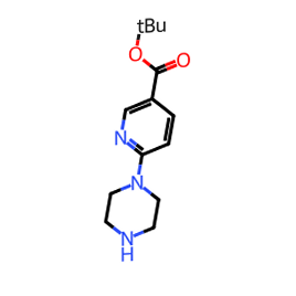 CC(C)(C)OC(=O)c1ccc(N2CCNCC2)nc1